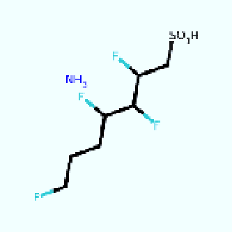 N.O=S(=O)(O)CC(F)C(F)C(F)CCCF